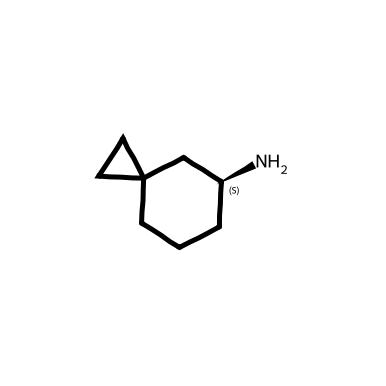 N[C@H]1CCCC2(CC2)C1